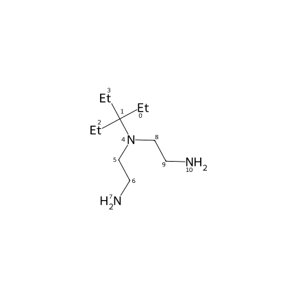 CCC(CC)(CC)N(CCN)CCN